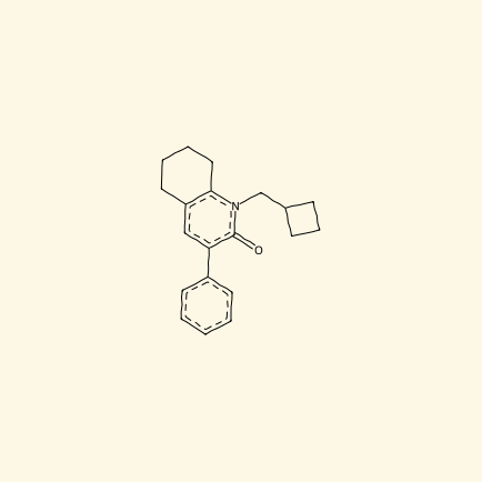 O=c1c(-c2ccccc2)cc2c(n1CC1CCC1)CCCC2